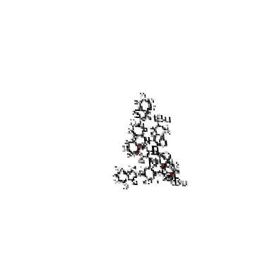 CC(C)(C)c1ccc2oc3c(c2c1)N(c1cc(-c2cc4ccccc4s2)ccc1-c1ccccc1)c1cccc2c1B3c1oc3ccc(C(C)(C)C)cc3c1N2c1cc(-c2cc3ccccc3s2)ccc1-c1ccccc1